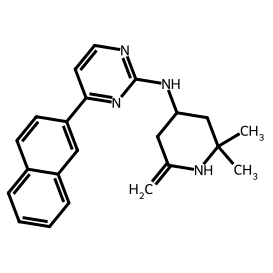 C=C1CC(Nc2nccc(-c3ccc4ccccc4c3)n2)CC(C)(C)N1